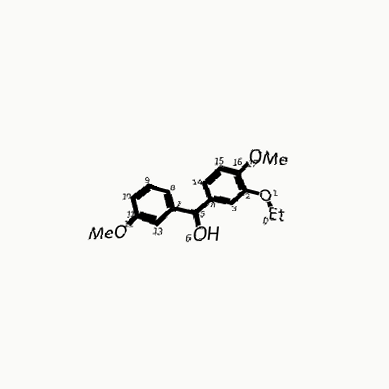 CCOc1cc(C(O)c2cccc(OC)c2)ccc1OC